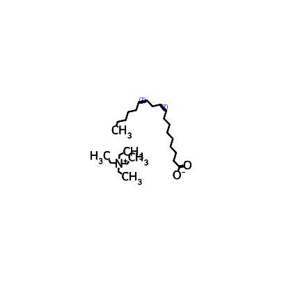 CCCCC/C=C\C/C=C\CCCCCCCC(=O)[O-].CC[N+](CC)(CC)CC